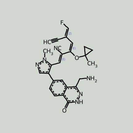 C#CC(=C\F)/C=C(OC1(C)CC1)\C(C#N)=C\c1c(-c2ccc3c(=O)[nH]nc(CN)c3c2)cnn1C